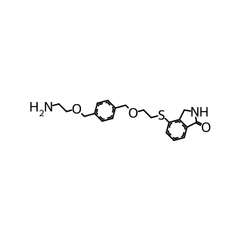 NCCOCc1ccc(COCCSc2cccc3c2CNC3=O)cc1